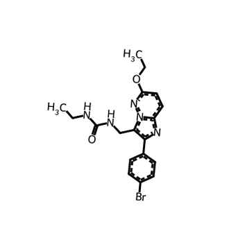 CCNC(=O)NCc1c(-c2ccc(Br)cc2)nc2ccc(OCC)nn12